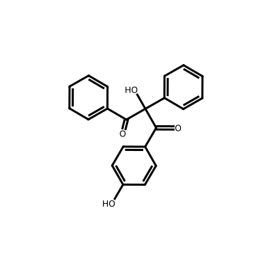 O=C(c1ccccc1)C(O)(C(=O)c1ccc(O)cc1)c1ccccc1